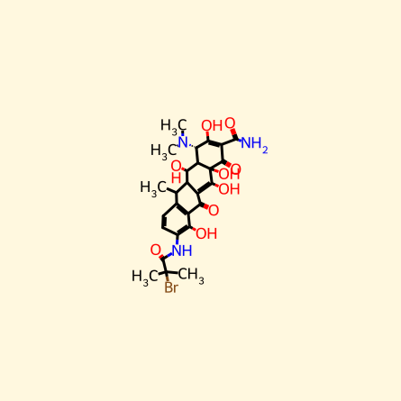 CC1c2ccc(NC(=O)C(C)(C)Br)c(O)c2C(=O)C2=C(O)C3(O)C(=O)C(C(N)=O)=C(O)[C@@H](N(C)C)C3C(O)C21